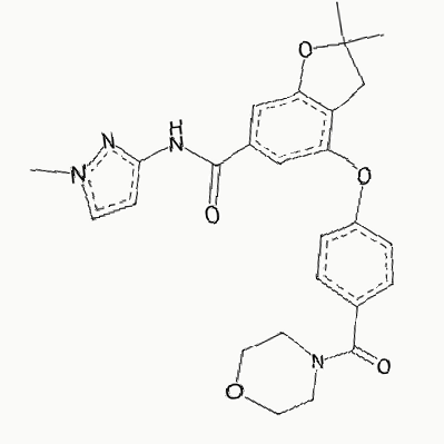 Cn1ccc(NC(=O)c2cc(Oc3ccc(C(=O)N4CCOCC4)cc3)c3c(c2)OC(C)(C)C3)n1